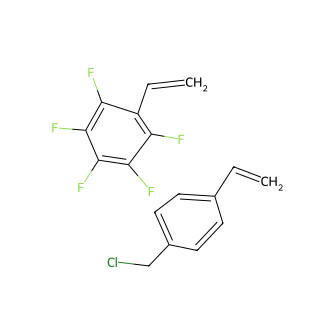 C=Cc1c(F)c(F)c(F)c(F)c1F.C=Cc1ccc(CCl)cc1